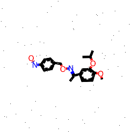 COc1ccc(/C(C)=N/OCc2ccc(N=O)cc2)cc1OC(C)C